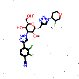 CO[C@@H]1[C@@H](n2cc(-c3ccc(C#N)c(F)c3F)nn2)[C@@H](O)[C@@H](CO)O[C@@H]1Cc1cn([C@@H]2CCOC[C@H]2F)nn1